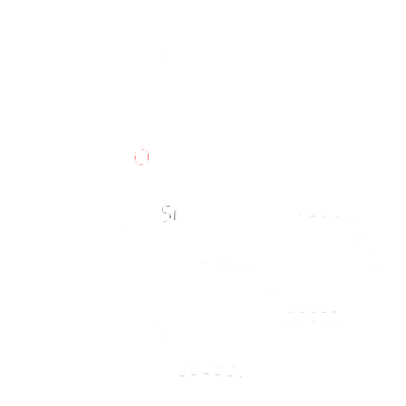 C=C[Si](C)(OCC)c1cccc2ccccc12